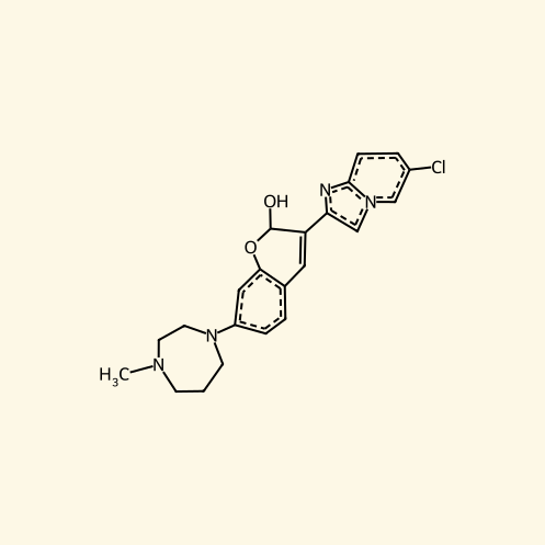 CN1CCCN(c2ccc3c(c2)OC(O)C(c2cn4cc(Cl)ccc4n2)=C3)CC1